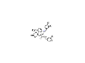 O=C(NCc1ccnc(Cl)c1)[N+]1(C/C=C/c2ccc(Cl)c(Cl)c2)CC2(CCNCC2)c2c(C(F)(F)F)cccc21